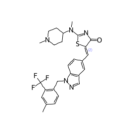 Cc1ccc(Cn2ncc3cc(/C=C4\SC(N(C)C5CCN(C)CC5)=NC4=O)ccc32)c(C(F)(F)F)c1